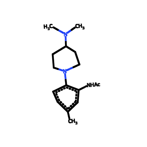 CC(=O)Nc1cc(C)ccc1N1CCC(N(C)C)CC1